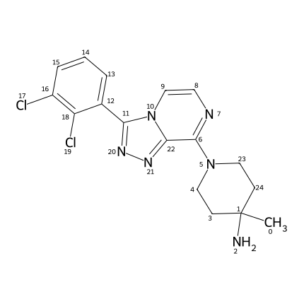 CC1(N)CCN(c2nccn3c(-c4cccc(Cl)c4Cl)nnc23)CC1